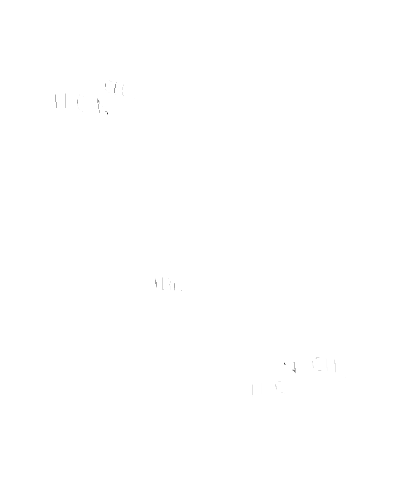 CN(C)c1ccc(C#Cc2cc(C(C)(C)C)c(C#Cc3ccc(N(C)C)cc3)c3ccccc23)cc1